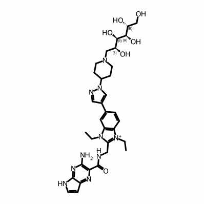 CCn1c(CNC(=O)c2nc3cc[nH]c3nc2N)[n+](CC)c2ccc(-c3cnn(C4CCN(C[C@H](O)[C@@H](O)[C@H](O)[C@H](O)CO)CC4)c3)cc21